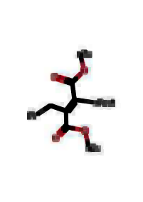 CCCCCC(C(=O)OCCCC)=C(CC(C)C)C(=O)OCCCC